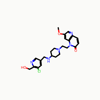 COc1cnc2ccc(=O)n(CCN3CCC(NCc4cnc(CO)c(Cl)c4)CC3)c2c1